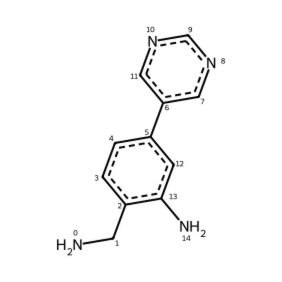 NCc1ccc(-c2cncnc2)cc1N